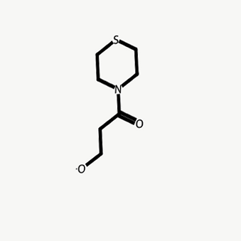 [O]CCC(=O)N1CCSCC1